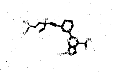 CN(C)CC[C@@](O)(C#Cc1cccc(-c2nc(C(N)=O)c3cnn(C)c3n2)c1)C=O